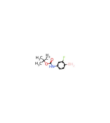 Bc1ccc(NC(=O)OC(C)(C)C)cc1F